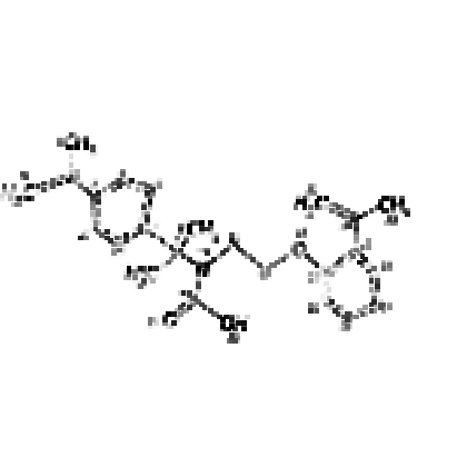 C=C(C)c1ccc(C(C)(C)N(CCOc2ccccc2C(=C)C)C(=O)O)cc1